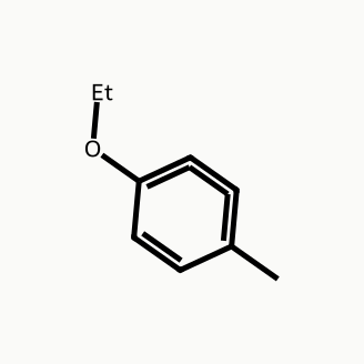 CCOC1=C=C=C(C)C=C1